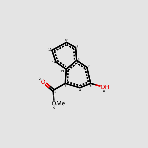 COC(=O)c1cc(O)cc2ccccc12